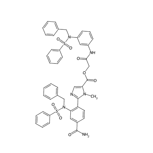 Cn1c(C(=O)OCC(=O)Nc2cccc(N(Cc3ccccc3)S(=O)(=O)c3ccccc3)c2)cnc1-c1ccc(C(N)=O)cc1N(Cc1ccccc1)S(=O)(=O)c1ccccc1